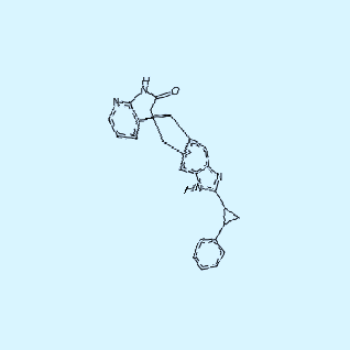 O=C1Nc2ncccc2C12Cc1cc3nc(C4CC4c4ccccc4)[nH]c3cc1C2